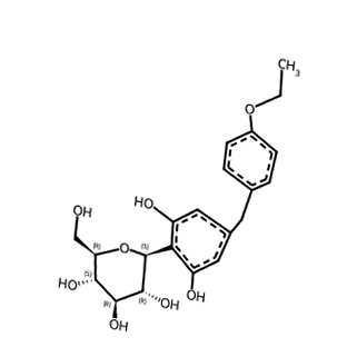 CCOc1ccc(Cc2cc(O)c([C@@H]3O[C@H](CO)[C@@H](O)[C@H](O)[C@H]3O)c(O)c2)cc1